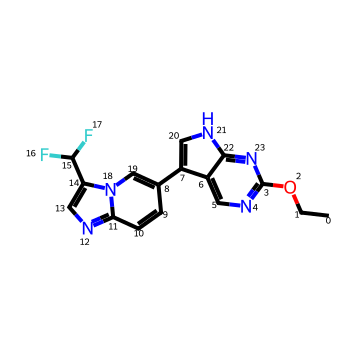 CCOc1ncc2c(-c3ccc4ncc(C(F)F)n4c3)c[nH]c2n1